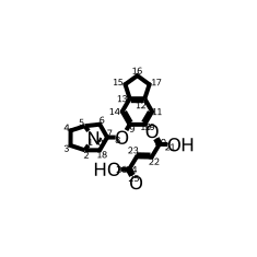 CN1C2CCC1CC(Oc1ccc3c(c1)CCC3)C2.O=C(O)/C=C/C(=O)O